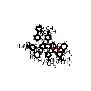 CC(C)(C)c1ccc(N2c3cc(N4c5ccc(C(C)(C)C)cc5C5(C)CCCCC45C)ccc3B3c4ccc(C(C)(C)C)cc4N(c4cccc5c4oc4ccccc45)c4cc(N5c6ccc(C(C)(C)C)cc6C6(C)CCCCC56C)cc2c43)c(-c2ccccc2)c1